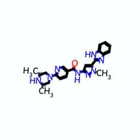 C[C@@H]1CN(c2ccc(C(=O)Nc3cc(-c4nc5ccccc5[nH]4)n(C)n3)cn2)C[C@H](C)N1